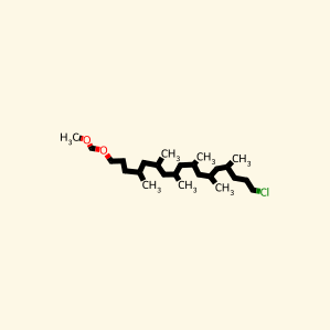 COCOCCCC(C)CC(C)CC(C)CC(C)CC(C)CC(C)CCCCl